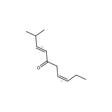 CC/C=C\CC(=O)/C=C/C(C)C